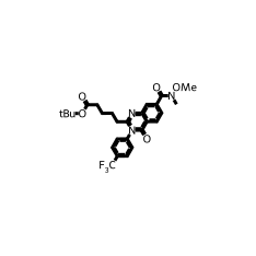 CON(C)C(=O)c1ccc2c(=O)n(-c3ccc(C(F)(F)F)cc3)c(CCCCC(=O)OC(C)(C)C)nc2c1